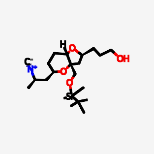 [C-]#[N+][C@H](C)C[C@H]1CC[C@@H]2O[C@@H](CCCO)C[C@]2(CO[Si](C)(C)C(C)(C)C)O1